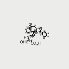 O=C[C@H](CC(=O)O)NC(=O)[C@@H]1CCCN2C(=O)CCN(NC(=O)c3ccccc3)C(=O)N12